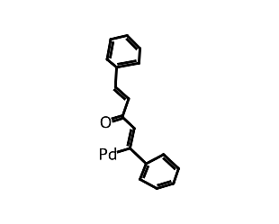 O=C(/C=[C](\[Pd])c1ccccc1)/C=C/c1ccccc1